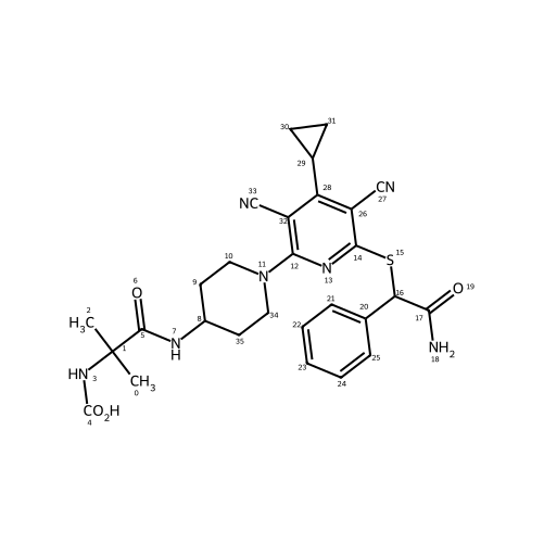 CC(C)(NC(=O)O)C(=O)NC1CCN(c2nc(SC(C(N)=O)c3ccccc3)c(C#N)c(C3CC3)c2C#N)CC1